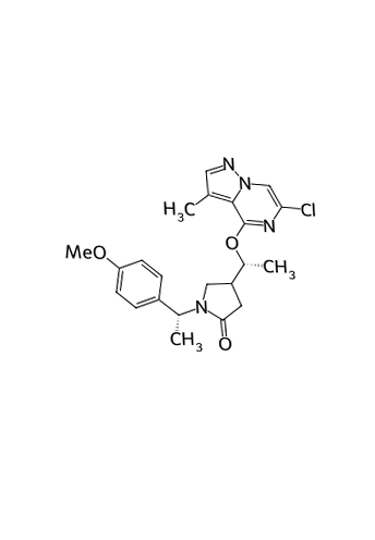 COc1ccc([C@@H](C)N2CC([C@@H](C)Oc3nc(Cl)cn4ncc(C)c34)CC2=O)cc1